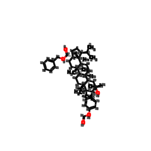 CC(C)[C@@H]1CC[C@]2(C(=O)OCc3ccccc3)CC[C@]3(C)[C@H](CC[C@@H]4[C@@]5(C)C[C@@H]6O[C@]6(c6ccc(OC=O)cc6)C(C)(C)[C@@H]5CC[C@]43C)[C@@H]12